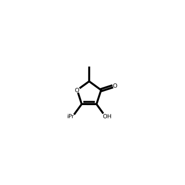 CC(C)C1=C(O)C(=O)C(C)O1